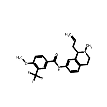 C=CCC1c2cc(NC(=O)c3ccc(OC)c(C(F)(F)F)c3)ccc2CCN1C